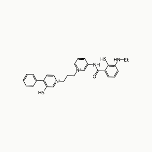 CCNc1cccc(C(=O)Nc2ccc[n+](CCC[n+]3ccc(-c4ccccc4)c(S)c3)c2)c1S